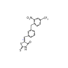 O=C1NC(=S)S/C1=C/c1cccc(Cc2ccc(C(F)(F)F)cc2[N+](=O)[O-])c1